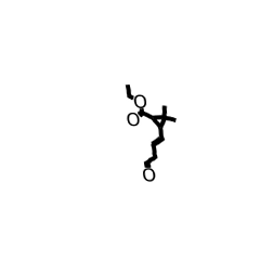 CCOC(=O)C1C(C=CCC=O)C1(C)C